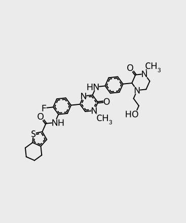 CN1CCN(CCO)C(c2ccc(Nc3nc(-c4ccc(F)c(NC(=O)c5cc6c(s5)CCCC6)c4)cn(C)c3=O)cc2)C1=O